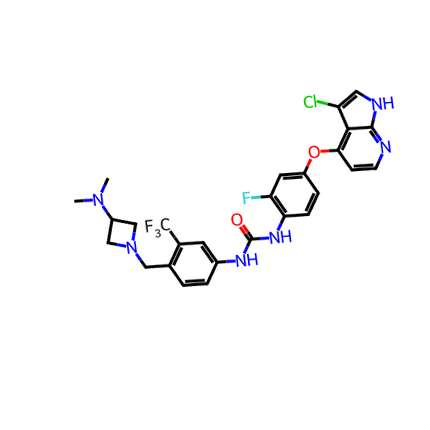 CN(C)C1CN(Cc2ccc(NC(=O)Nc3ccc(Oc4ccnc5[nH]cc(Cl)c45)cc3F)cc2C(F)(F)F)C1